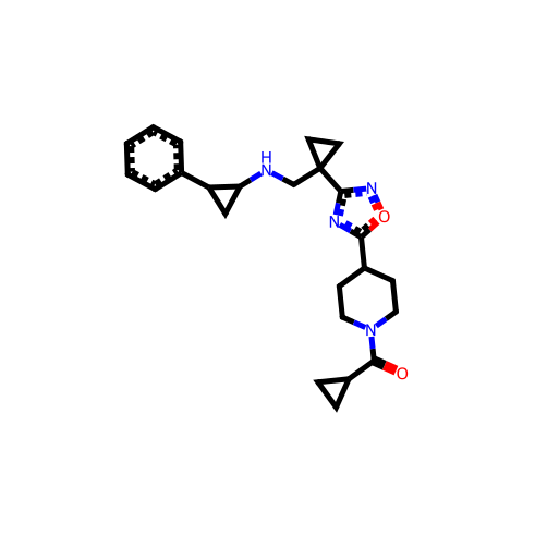 O=C(C1CC1)N1CCC(c2nc(C3(CNC4CC4c4ccccc4)CC3)no2)CC1